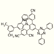 Cc1cc(C)cc(-c2ccc3c(c2)c2ccccc2n3-c2c(-c3ccc(C#N)cc3C#N)cc(-c3nc(-c4ccccc4)nc(-c4ccccc4)n3)cc2-c2ccc(C#N)cc2C#N)c1